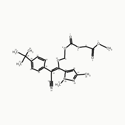 COC(=O)CSC(=O)OCO/C(=C(/C#N)c1ccc(C(C)(C)C)cc1)c1cc(C)nn1C